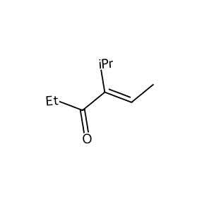 C/C=C(/C(=O)CC)C(C)C